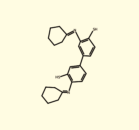 Sc1cc(-c2ccc(S)c(N=C3CCCCC3)c2)ccc1N=C1CCCCC1